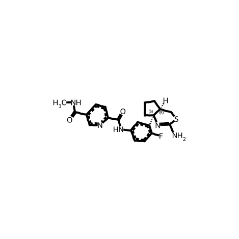 CNC(=O)c1ccc(C(=O)Nc2ccc(F)c([C@]34CCC[C@H]3CSC(N)=N4)c2)nc1